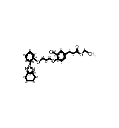 CCOC(=O)CCc1ccc(OCCCOc2ccccc2-n2nc3c(n2)CCCC3)c(Cl)c1